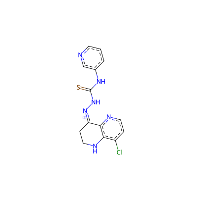 S=C(N/N=C1/CCNc2c(Cl)ccnc21)Nc1cccnc1